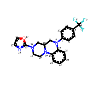 FC(F)(F)c1ccc(N2CC3CN(c4ncco4)CCN3c3ccccc32)cc1